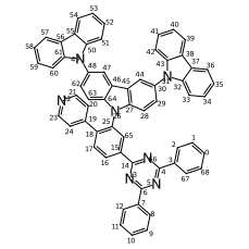 c1ccc(-c2nc(-c3ccccc3)nc(-c3ccc(-c4ccncc4)c(-n4c5ccc(-n6c7ccccc7c7ccccc76)cc5c5cc(-n6c7ccccc7c7ccccc76)ccc54)c3)n2)cc1